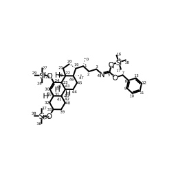 C[C@H](CC/N=C(/OCc1ccccc1)O[Si](C)(C)C)[C@H]1CC[C@H]2[C@@H]3C(O[Si](C)(C)C)=C[C@@H]4CC(O[Si](C)(C)C)CC[C@]4(C)[C@H]3CC[C@]12C